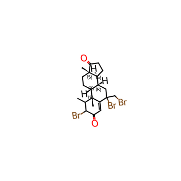 CC1C(Br)C(=O)C=C2C(Br)(CBr)C[C@@H]3[C@@H](CC[C@]4(C)C(=O)CC[C@@H]34)[C@]21C